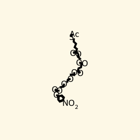 CC(=O)SCCCCCC(=O)OCCOC(=O)CCC(=O)OCCOCCOCCOC(=O)Oc1ccc([N+](=O)[O-])cc1